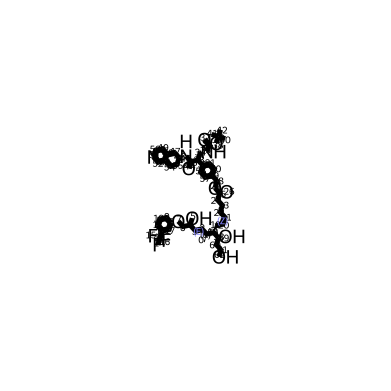 C[C@H](/C=C/C(O)COc1cccc(C(F)(F)F)c1)[C@@H](C/C=C\CCCC(=O)OCc1ccc(C(CNC(=O)OC(C)(C)C)C(=O)NC2C=c3ccncc3=CC2)cc1)C(O)CCO